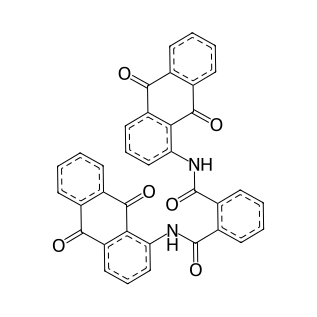 O=C(Nc1cccc2c1C(=O)c1ccccc1C2=O)c1ccccc1C(=O)Nc1cccc2c1C(=O)c1ccccc1C2=O